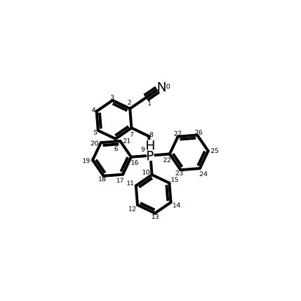 N#Cc1ccccc1C[PH](c1ccccc1)(c1ccccc1)c1ccccc1